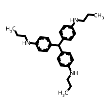 CCCNc1ccc(C(c2ccc(NCCC)cc2)c2ccc(NCCC)cc2)cc1